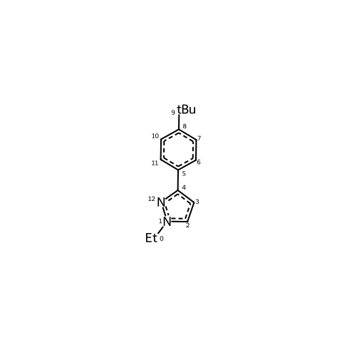 CCn1ccc(-c2ccc(C(C)(C)C)cc2)n1